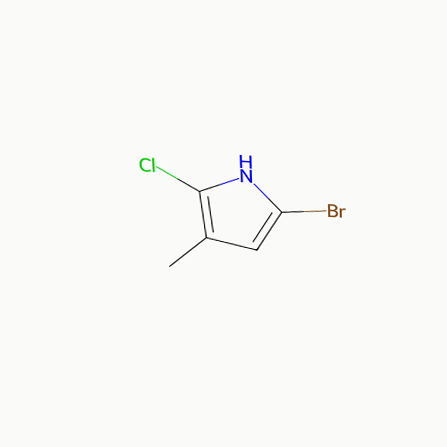 Cc1cc(Br)[nH]c1Cl